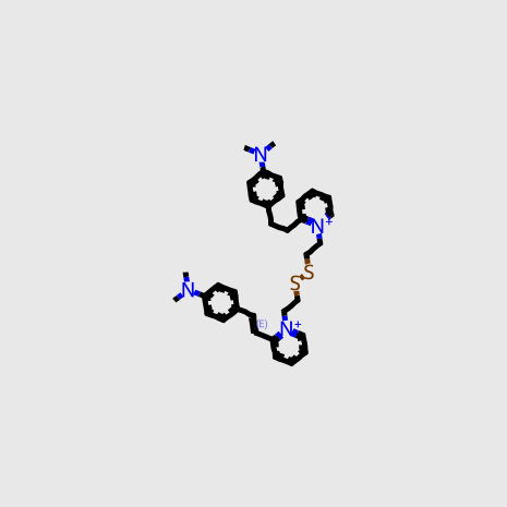 CN(C)c1ccc(/C=C/c2cccc[n+]2CCSSCC[n+]2ccccc2CCc2ccc(N(C)C)cc2)cc1